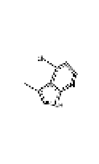 [CH2]c1c[nH]c2nccc(Cl)c12